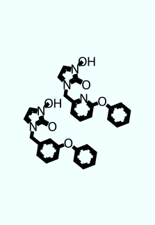 O=c1n(O)ccn1Cc1cccc(Oc2ccccc2)c1.O=c1n(O)ccn1Cc1cccc(Oc2ccccc2)n1